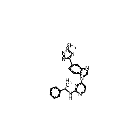 C[C@H](Nc1nccc(-n2cnc3cc(-c4nnn(C)n4)ccc32)n1)c1ccccc1